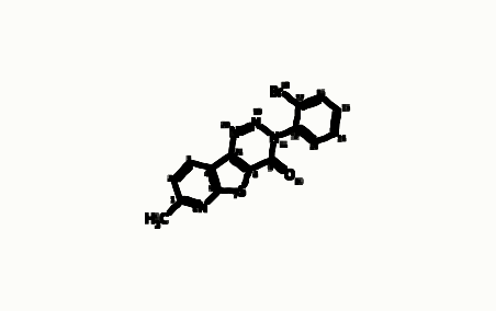 Cc1ccc2c(n1)sc1c(=O)n(-c3ccccc3Br)nnc12